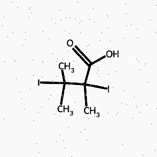 CC(C)(I)C(C)(I)C(=O)O